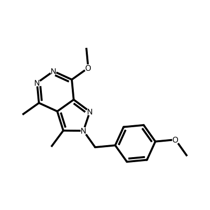 COc1ccc(Cn2nc3c(OC)nnc(C)c3c2C)cc1